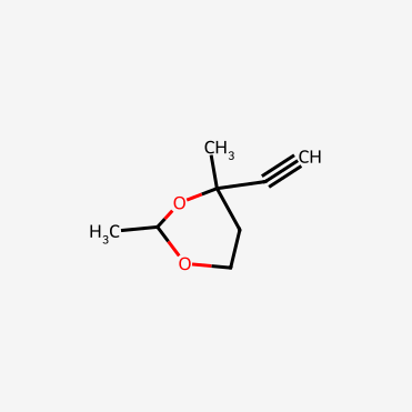 C#CC1(C)CCOC(C)O1